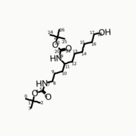 CC(C)(C)OC(=O)NCCCC(CCCCCCO)NC(=O)OC(C)(C)C